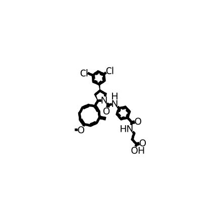 C=C1/C=C\C(OC)=C/C/C=C\C([C@H]2C[C@@H](c3cc(Cl)cc(Cl)c3)CN2C(=O)Nc2ccc(C(=O)NCCC(=O)O)cc2)=C/1